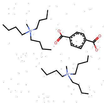 CCCC[N+](C)(CCCC)CCCC.CCCC[N+](C)(CCCC)CCCC.O=C([O-])c1ccc(C(=O)[O-])cc1